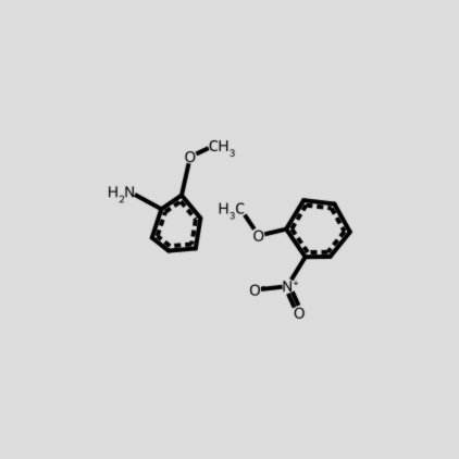 COc1ccccc1N.COc1ccccc1[N+](=O)[O-]